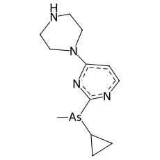 C[As](c1nccc(N2CCNCC2)n1)C1CC1